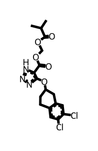 CC(C)C(=O)OCOC(=O)c1[nH]nnc1OC1CCc2cc(Cl)c(Cl)cc2C1